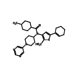 CC1CCC(C(=O)N(c2cc(C3=CCCCC3)sc2C(=O)O)C2CCN(c3cncnc3)CC2)CC1